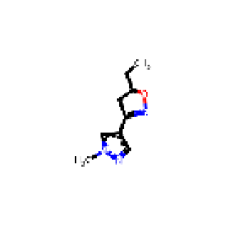 CCC1CC(c2cnn(C)c2)=NO1